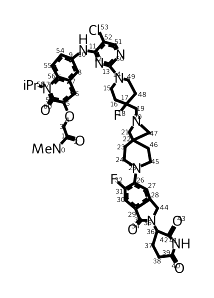 CNC(=O)COc1cc2cc(Nc3nc(N4CCC(F)(CN5CC6(CCN(c7cc8c(cc7F)C(=O)N(C7CCC(=O)NC7=O)C8)CC6)C5)CC4)ncc3Cl)ccc2n(C(C)C)c1=O